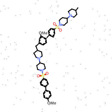 COc1ccc(-c2ccc(S(=O)(=O)N3CCC(N4CCC(Cc5ccc(-c6ccc(S(=O)(=O)N7CCC(N8CCC(C)CC8)CC7)cc6)c(OC)c5)CC4)CC3)cc2)cc1